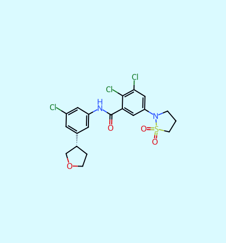 O=C(Nc1cc(Cl)cc([C@@H]2CCOC2)c1)c1cc(N2CCCS2(=O)=O)cc(Cl)c1Cl